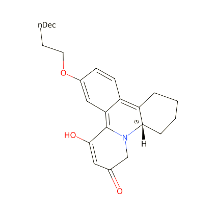 CCCCCCCCCCCCOc1ccc2c(c1)=C1C(O)=CC(=O)CN1[C@H]1CCCCC=21